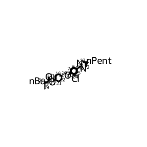 CCCCCc1cnc(-c2ccc(OC[C@H]3CC[C@H](OC(=O)[C@@H](F)CCCC)CC3)c(Cl)c2)nc1